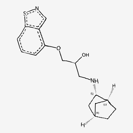 OC(CN[C@H]1C[C@@H]2CC[C@H]1C2)COc1cccc2sncc12